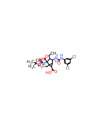 CCC1C(NC(=O)Nc2cc(Cl)cc(Cl)c2)C2C(C(=O)O)C2(CC)C1(NC(=O)OC(C)(C)C)C(=O)O